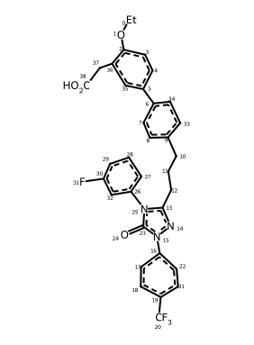 CCOc1ccc(-c2ccc(CCCc3nn(-c4ccc(C(F)(F)F)cc4)c(=O)n3-c3cccc(F)c3)cc2)cc1CC(=O)O